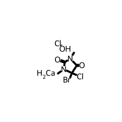 CN1C(=O)N(C)C(Cl)(Br)C1=O.OCl.[CaH2]